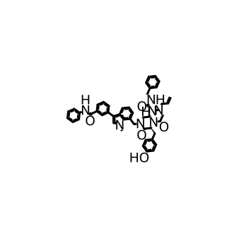 C=CCN1CC(=O)N2[C@@H](Cc3ccc(O)cc3)C(=O)N(Cc3cccc4c(-c5cccc(C(=O)Nc6ccccc6)c5)cn(C)c34)C[C@@H]2N1C(=O)NCc1ccccc1